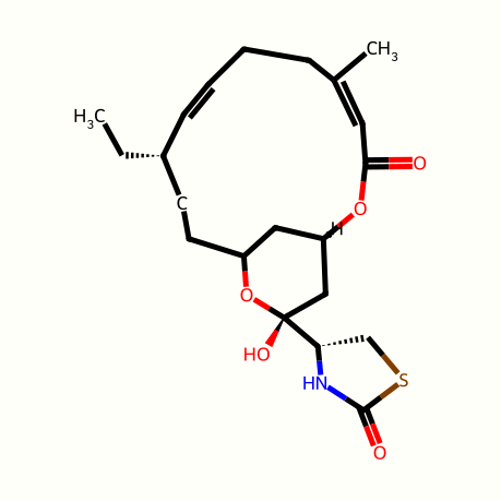 CC[C@@H]1/C=C\CC/C(C)=C\C(=O)O[C@@H]2CC(CC1)O[C@@](O)([C@@H]1CSC(=O)N1)C2